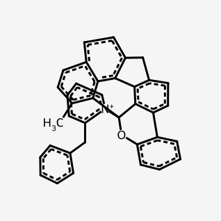 Cc1ccc2ccc3c4c2c1C1([n+]2ccccc2Cc2ccccc2)Oc2ccccc2-c2ccc(c-4c21)C3